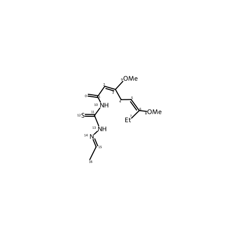 C=C(/C=C(\C/C=C(\CC)OC)OC)NC(=S)N/N=C/C